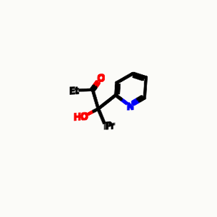 CCC(=O)C(O)(c1ccccn1)C(C)C